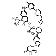 CNC(=O)COc1cc2cc(Nc3nc(N4CCC(OC5CC(N6CCN(c7ccc8c(ccn8[C@@H]8CCC(=O)NC8=O)c7)CC6)C5)CC4)ncc3Cl)ccc2n(C(C)C)c1=O